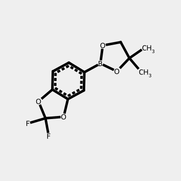 CC1(C)COB(c2ccc3c(c2)OC(F)(F)O3)O1